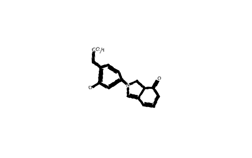 O=C(O)Cc1ccc(N2C=C3C=CCC(=O)C3C2)cc1Cl